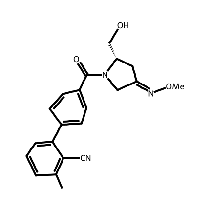 CO/N=C1\C[C@@H](CO)N(C(=O)c2ccc(-c3cccc(C)c3C#N)cc2)C1